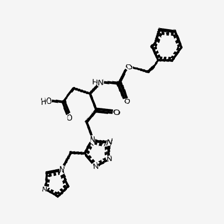 O=C(O)CC(NC(=O)OCc1ccccc1)C(=O)Cn1nnnc1Cn1ccnc1